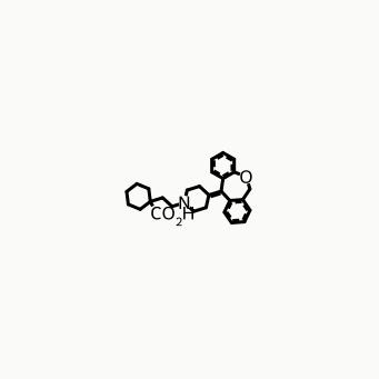 O=C(O)C1(CCN2CCC(=C3c4ccccc4COc4ccccc43)CC2)CCCCC1